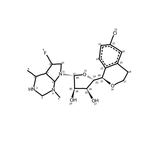 CC1NCN(C)C2C1C(F)CN2[C@@H]1O[C@H]([C@@H]2OCCc3cc(Cl)ccc32)[C@@H](O)[C@H]1O